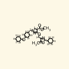 COC(=O)c1cn(Cc2ccc(Oc3ccccc3)cc2)nc1OCc1nc(-c2ccccc2)oc1C